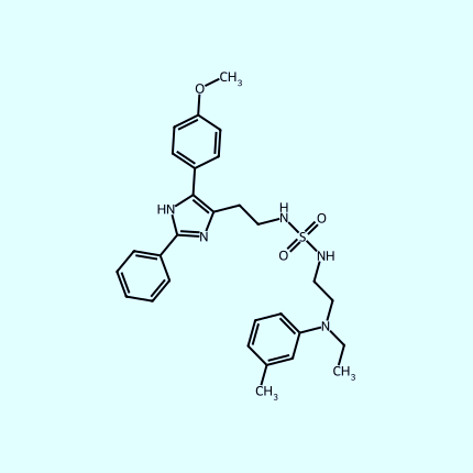 CCN(CCNS(=O)(=O)NCCc1nc(-c2ccccc2)[nH]c1-c1ccc(OC)cc1)c1cccc(C)c1